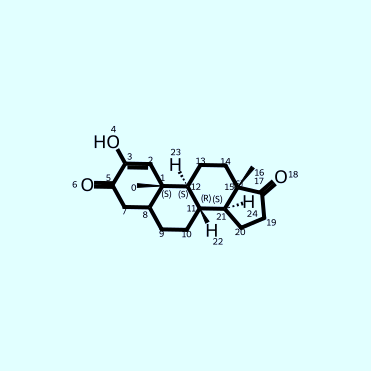 C[C@]12C=C(O)C(=O)CC1CC[C@@H]1[C@@H]2CC[C@]2(C)C(=O)CC[C@@H]12